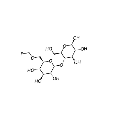 OC[C@H]1O[C@@H](O)[C@H](O)[C@@H](O)[C@@H]1O[C@@H]1O[C@H](COCF)[C@@H](O)[C@H](O)[C@H]1O